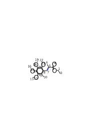 CCOC(=O)/C(C)=C/c1c(C)c(OC)c(OC)c(OC)c1OC